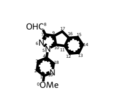 COc1ccc(-n2nc(C=O)c3c2-c2ccccc2C3)cn1